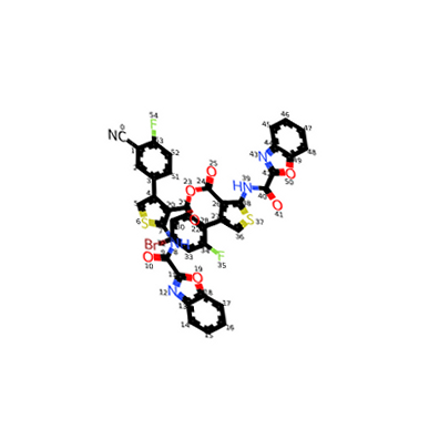 N#Cc1cc(-c2csc(NC(=O)c3nc4ccccc4o3)c2C(=O)OC(=O)c2c(-c3ccc(Br)cc3F)csc2NC(=O)c2nc3ccccc3o2)ccc1F